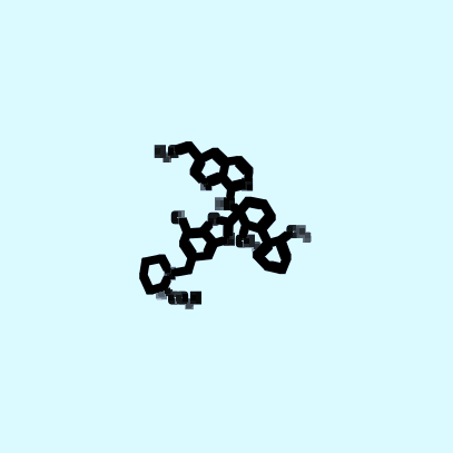 C=Cc1cnc2c(NC3(c4nc5cc(CN6CCCC[C@H]6C(=O)O)cc(Cl)c5o4)C=CC=C(c4ccccc4C)C3C)nccc2c1